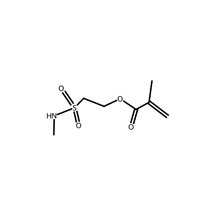 C=C(C)C(=O)OCCS(=O)(=O)NC